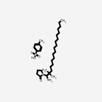 CCCCCCCCCCCCCCCCCC(C)(C)C(N)N1CCCC1=O.Cc1ccc(S(=O)(=O)O)cc1